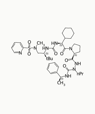 CCCN(NC(=O)[C@@H]1CCCN1C(=O)[C@@H](NC(=O)N[C@H](CN(C)S(=O)(=O)c1ccccn1)C(C)(C)C)C1CCCCC1)C(=O)N[C@@H](C)c1ccccc1